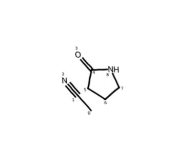 CC#N.O=C1CCCN1